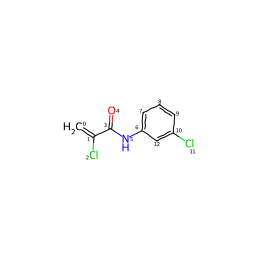 C=C(Cl)C(=O)Nc1cccc(Cl)c1